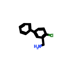 NCc1cc(-c2c[c]ccc2)ccc1Cl